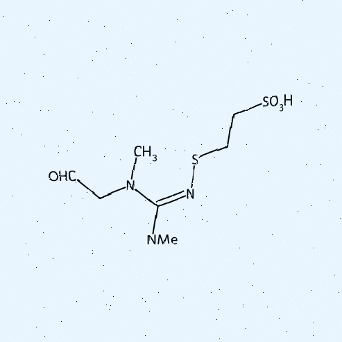 CNC(=NSCCS(=O)(=O)O)N(C)CC=O